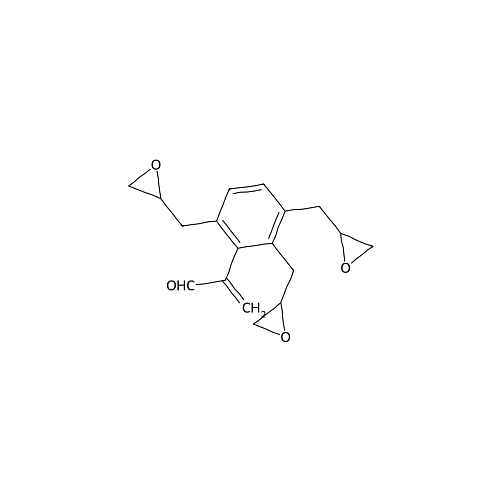 C=C(C=O)c1c(CC2CO2)ccc(CC2CO2)c1CC1CO1